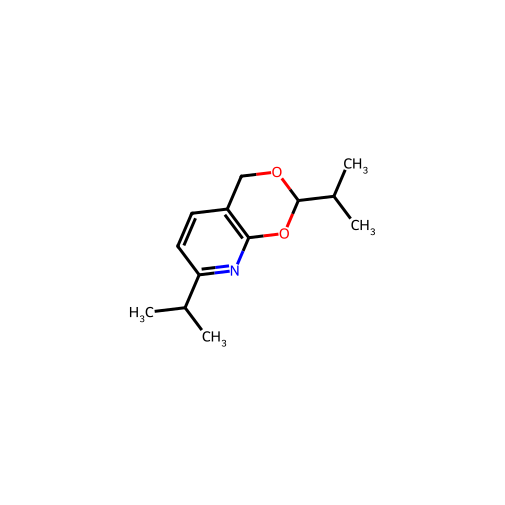 CC(C)c1ccc2c(n1)OC(C(C)C)OC2